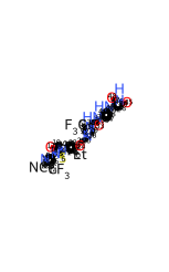 CCc1cc(N2C(=S)N(c3cnc(C#N)c(C(F)(F)F)c3)C(=O)C2(C)C)ccc1OCCN1CCN(CC(=O)Nc2cccc(NC3CCC(=O)NC3=O)c2)C(C(F)(F)F)C1